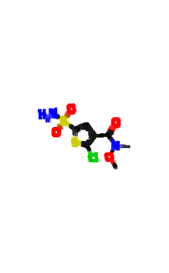 CON(C)C(=O)c1cc(S(N)(=O)=O)sc1Cl